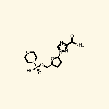 NC(=O)c1ncn([C@H]2CC[C@@H](COP(=O)(O)N3CCOCC3)O2)n1